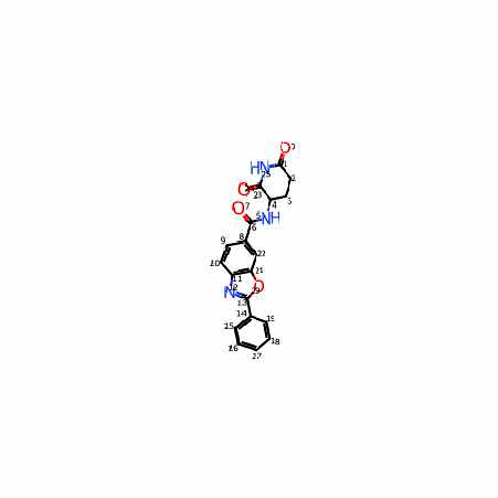 O=C1CCC(NC(=O)c2ccc3nc(-c4ccccc4)oc3c2)C(=O)N1